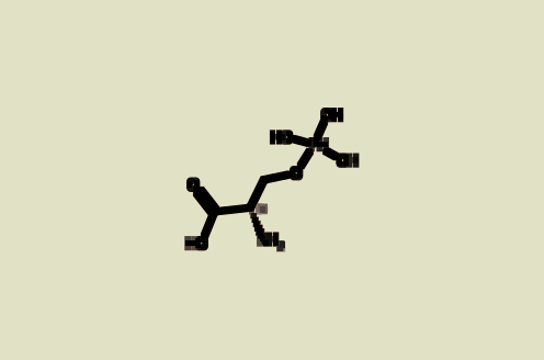 N[C@@H](CO[PH](O)(O)O)C(=O)O